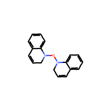 C1=Cc2ccccc2N(ON2CC=Cc3ccccc32)C1